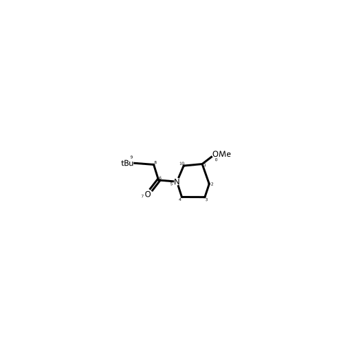 COC1CCCN(C(=O)CC(C)(C)C)C1